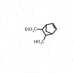 [CH2]COC(=O)C1C2C=CC(C2)C1C(=O)O